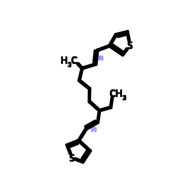 CCC(/C=C/c1ccsc1)CCCC(C)/C=C/c1ccsc1